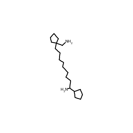 NCC1(CCCCCCCCC(N)C2CCCC2)CCCC1